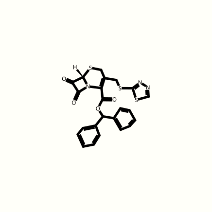 O=C(OC(c1ccccc1)c1ccccc1)C1=C(CSc2nncs2)CS[C@H]2C(=O)C(=O)N12